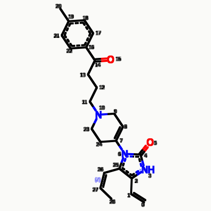 C=Cc1[nH]c(=O)n(C2=CCN(CCCC(=O)c3ccc(C)cc3)CC2)c1/C=C\C